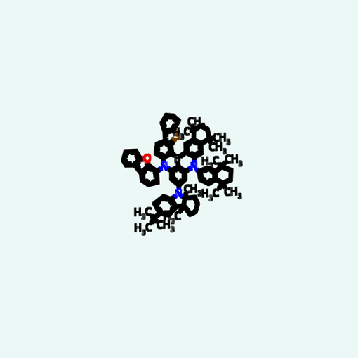 CC(C)(C)c1ccc2c(c1)C1(C)CCCCC1(C)N2c1cc2c3c(c1)N(c1cccc4c1oc1ccccc14)c1ccc4c(sc5ccccc54)c1B3c1cc3c(cc1N2c1ccc2c(c1)C(C)(C)CCC2(C)C)C(C)(C)CCC3(C)C